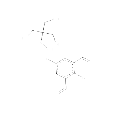 CCC(CO)(CO)CO.O=Cc1cc(Br)cc(C=O)c1Br